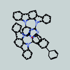 C1=CCC(c2ccc(-c3nc(-n4c5ccccc5c5ccc6c7ccccc7n(-c7ccccc7)c6c54)nc(-n4c5ccccc5c5ccc6c7ccccc7n(-c7ccccc7)c6c54)n3)cc2)C=C1